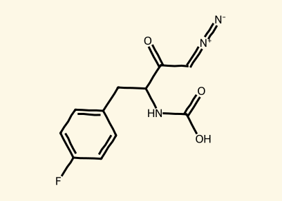 [N-]=[N+]=CC(=O)C(Cc1ccc(F)cc1)NC(=O)O